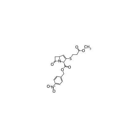 COC(=O)CCSC1=CC2CC(=O)N2[C@@H]1C(=O)OCc1ccc([N+](=O)[O-])cc1